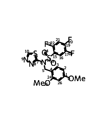 COc1ccc(CN(c2nncs2)S(=O)(=O)c2cc(F)c(F)cc2F)c(OC)c1